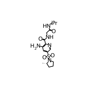 CC(C)NC(=O)CNC(=O)c1ncc(S(=O)(=O)N2CCC[C@@H]2C)cc1N